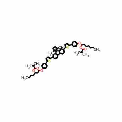 C=C(C)C(=O)OC(CCCCCC)Oc1ccc(-c2ccc(-c3ccc4c(c3)C3(c5cc(-c6ccc(-c7ccc(OC(CCCCCC)OC(=O)C(=C)C)cc7)s6)ccc5-4)C4(C)CCC3(C)CC4)s2)cc1